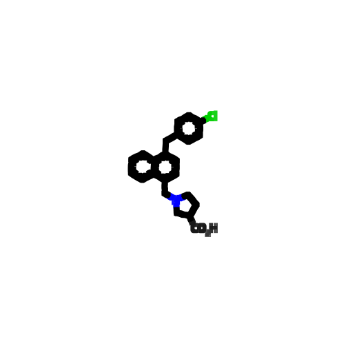 O=C(O)C1CCN(Cc2ccc(Cc3ccc(Cl)cc3)c3ccccc23)C1